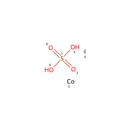 O=S(=O)(O)O.[Co].[I]